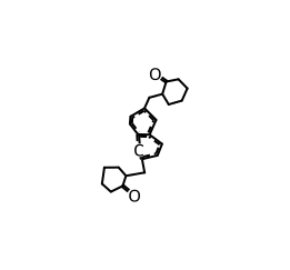 O=C1CCCCC1Cc1ccc2cc(CC3CCCCC3=O)ccc2c1